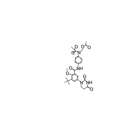 COc1c(C(=O)Nc2ccc(N(COC(C)=O)S(C)(=O)=O)cc2)cc(N2CCC(=O)NC2=O)cc1C(C)(C)C